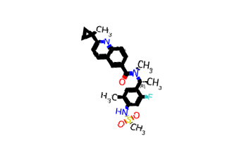 Cc1cc([C@@H](C)N(C)C(=O)c2ccc3nc(C4(C)CC4)ccc3c2)c(F)cc1NS(C)(=O)=O